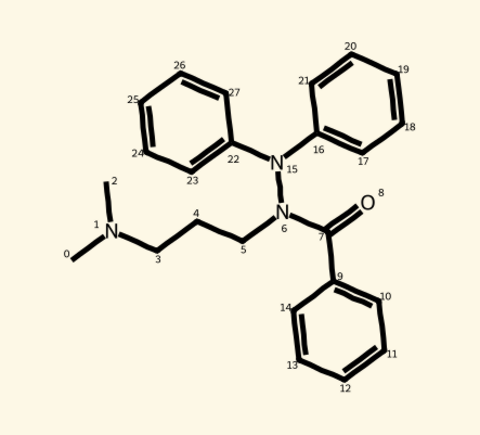 CN(C)CCCN(C(=O)c1ccccc1)N(c1ccccc1)c1ccccc1